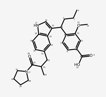 CCCC(c1ccc(C(=O)O)cc1OC)c1c[nH]c2ccc(CC(C)C(=O)N3CCCC3)cc12